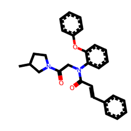 CC1CCN(C(=O)CN(C(=O)/C=C/c2ccccc2)c2ccccc2Oc2ccccc2)C1